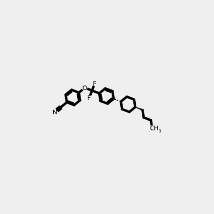 CCCC[C@H]1CC[C@H](c2ccc(C(F)(F)Oc3ccc(C#N)cc3)cc2)CC1